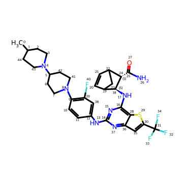 CC1CCN(C2CCN(c3ccc(Nc4nc(N[C@H]5C6C=CC(C6)[C@@H]5C(N)=O)c5sc(C(F)(F)F)cc5n4)cc3F)CC2)CC1